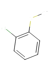 FC(F)(F)Sc1ccc[c]c1Cl